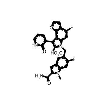 Cn1c(C(N)=O)cc2cc(Cn3c(C(=O)O)c(-c4ccc[nH]c4=O)c4c5occc5c(F)cc43)c(F)cc21